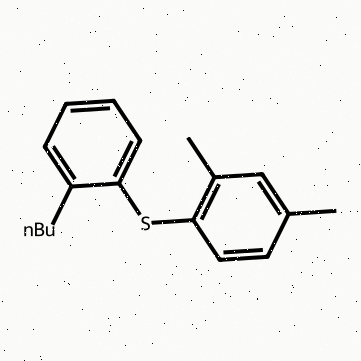 CCCCc1ccccc1Sc1ccc(C)cc1C